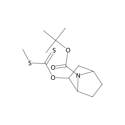 CSC(=S)OC1CC2CCC1N2C(=O)OC(C)(C)C